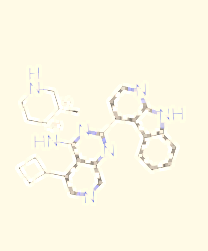 C[C@@H]1CNCC[C@H]1Nc1nc(-c2ccnc3[nH]c4ccccc4c23)nc2cncc(C3CCC3)c12